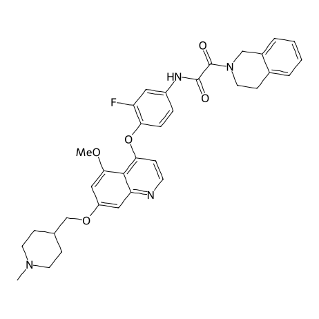 COc1cc(OCC2CCN(C)CC2)cc2nccc(Oc3ccc(NC(=O)C(=O)N4CCc5ccccc5C4)cc3F)c12